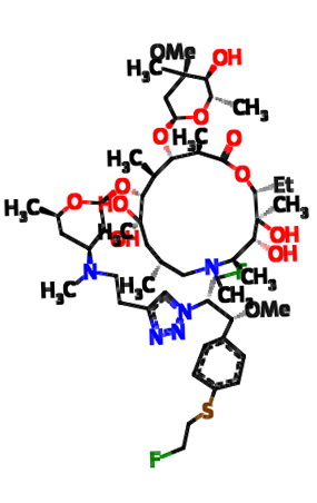 CC[C@H]1OC(=O)[C@H](C)[C@@H](O[C@H]2C[C@@](C)(OC)[C@@H](O)[C@H](C)O2)[C@H](C)[C@@H](O[C@@H]2O[C@H](C)C[C@H](N(C)CCc3cn([C@H](CF)[C@H](OC)c4ccc(SCCF)cc4)nn3)[C@H]2O)[C@](C)(O)C[C@@H](C)CN(C)[C@H](C)[C@@H](O)[C@]1(C)O